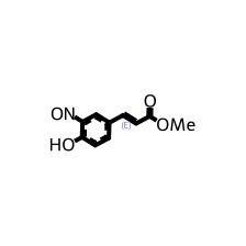 COC(=O)/C=C/c1ccc(O)c(N=O)c1